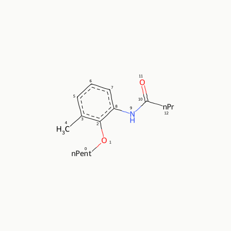 CCCCCOc1c(C)cccc1NC(=O)CCC